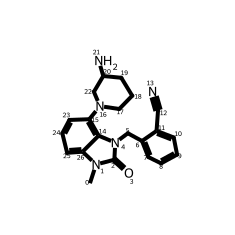 Cn1c(=O)n(Cc2ccccc2C#N)c2c(N3CCCC(N)C3)cccc21